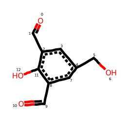 O=Cc1cc(CO)cc(C=O)c1O